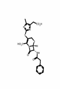 Cc1nc(SC2=C(C(=O)O)N3C(=O)[C@@H](NC(=O)Cc4ccccc4)[C@H]3SC2)sc1CC(=O)O